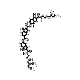 NCC(N)CNCCNC(=O)c1cc2cc(NC(=O)c3ccc4[nH]c(C(=O)Nc5ccc6[nH]c(C(=O)NCCNCC(N)CN)cc6c5)cc4c3)ccc2[nH]1